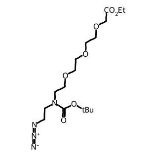 CCOC(=O)COCCOCCOCCN(CCN=[N+]=[N-])C(=O)OC(C)(C)C